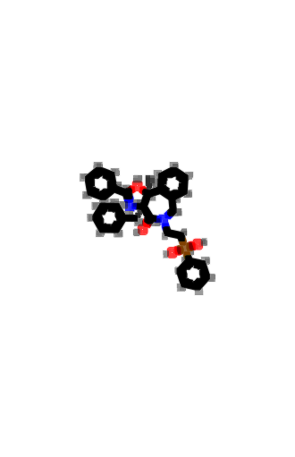 O=C1N(CCS(=O)(=O)c2ccccc2)Cc2ccccc2[C@@H]2OC(c3ccccc3)=N[C@]12Cc1ccccc1